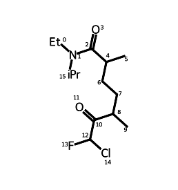 CCN(C(=O)C(C)CCC(C)C(=O)C(F)Cl)C(C)C